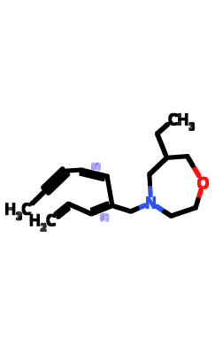 C=C/C=C(\C=C/C#CC)CN1CCOCC(CC)C1